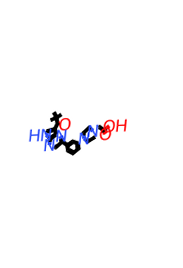 CC(C)(C)C(=O)c1c[nH]c2ncc(-c3cccc(N4CCN(CC(=O)O)CC4)c3)nc12